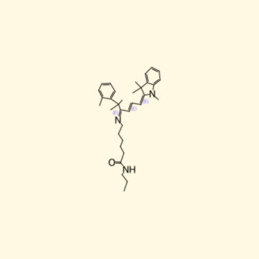 CCCNC(=O)CCCCC\N=C(/C=C/C=C1/N(C)c2ccccc2C1(C)C)C(C)(C)c1ccccc1C